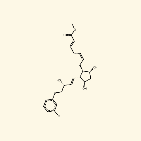 COC(=O)/C=C/C/C=C\C[C@@H]1[C@@H](/C=C/[C@@H](O)COc2cccc(Cl)c2)[C@H](O)C[C@@H]1O